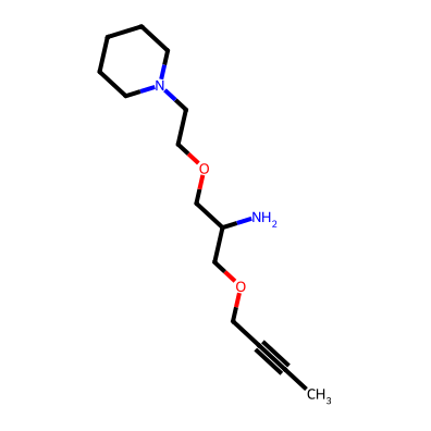 CC#CCOCC(N)COCCN1CCCCC1